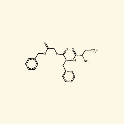 NC(CC(=O)O)C(=O)NC(Cc1ccccc1)C(=O)OCC(=O)OCc1ccccc1